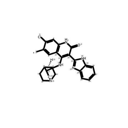 O=c1[nH]c2cc(Cl)c(I)cc2c(N[C@H]2CN3CCC2CC3)c1-c1nc2ccccc2[nH]1